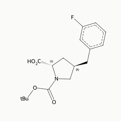 CC(C)(C)OC(=O)N1C[C@H](Cc2cccc(F)c2)C[C@H]1C(=O)O